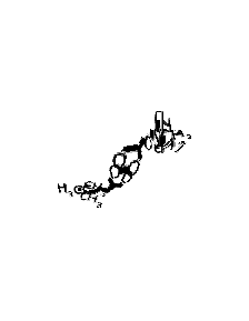 C[Si](C)(C)CCCC1COC2(OC1)OCC(COC[Si](C)(C)C)CO2